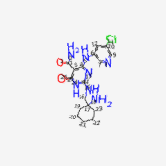 NC(=O)c1c(Nc2cncc(Cl)c2)nc(NCC2(N)CCCCC2)[nH]c1=O